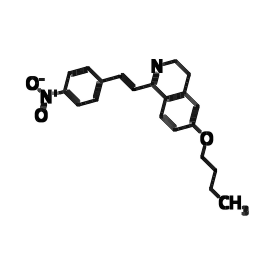 CCCCOc1ccc2c(c1)CCN=C2C=Cc1ccc([N+](=O)[O-])cc1